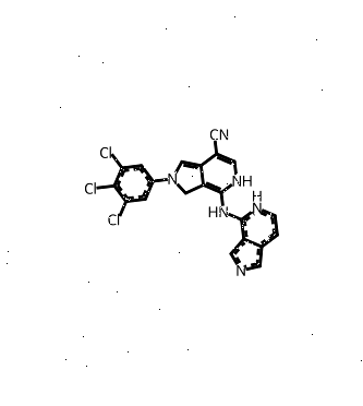 N#CC1=CNC(Nc2[nH]ccc3cncc2-3)=C2CN(c3cc(Cl)c(Cl)c(Cl)c3)C=C12